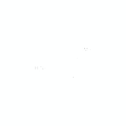 CSc1cccc(CCN)c1